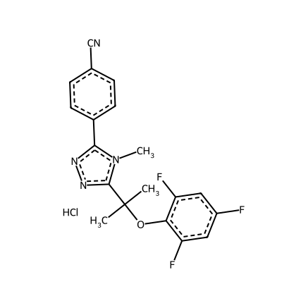 Cl.Cn1c(-c2ccc(C#N)cc2)nnc1C(C)(C)Oc1c(F)cc(F)cc1F